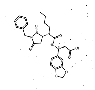 CCCCN(C(=O)N[C@@H](CC(=O)O)c1ccc2c(c1)OCO2)C1CC(=O)N(Cc2ccccc2)C1=O